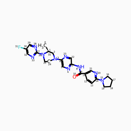 C[C@H]1CN(c2cnc(NC(=O)c3ccc(N4CCCC4)nc3)cn2)CCN1c1ncc(F)cn1